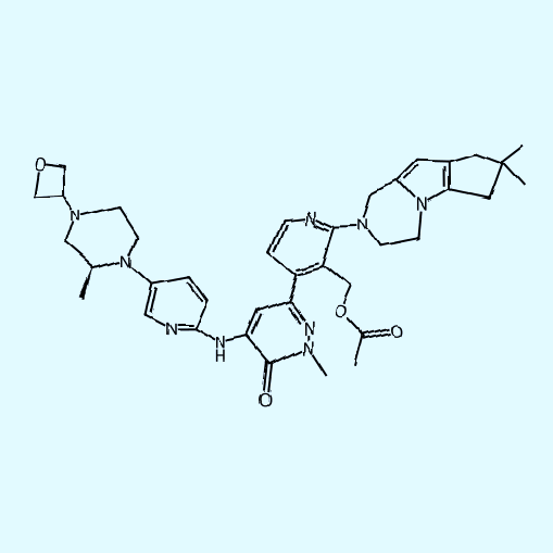 CC(=O)OCc1c(-c2cc(Nc3ccc(N4CCN(C5COC5)C[C@@H]4C)cn3)c(=O)n(C)n2)ccnc1N1CCn2c(cc3c2CC(C)(C)C3)C1